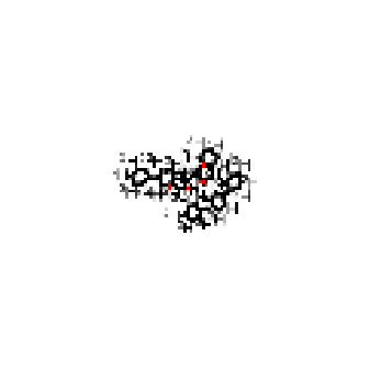 [2H]c1c([2H])c([2H])c(-c2nc(-c3c([2H])c([2H])c(-c4c([2H])c([2H])c([2H])c([2H])c4[2H])c([2H])c3[2H])nc(-n3c4c([2H])c([2H])c([2H])c([2H])c4c4c([2H])c([2H])c5c6c([2H])c([2H])c([2H])c([2H])c6n(-c6cccc(-c7ccccc7)c6)c5c43)n2)c([2H])c1[2H]